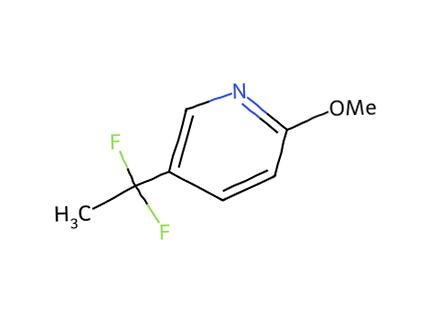 COc1ccc(C(C)(F)F)cn1